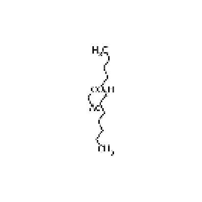 CC(=O)CC(=O)O.CCCCCCCCCCCC